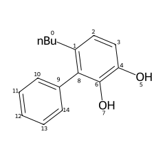 CCCCc1ccc(O)c(O)c1-c1ccccc1